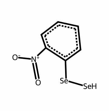 O=[N+]([O-])c1ccccc1[Se][SeH]